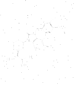 COc1ccc(Cn2c(=O)n(C3CCCC(=C(C)C(O)O)C3)c3ccc(C#N)cc32)cc1Cl